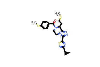 CSCCC1c2nnc(-c3nc(C4CC4)ns3)n2CCN1C(=O)c1ccc(SC)cc1